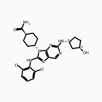 NC(=O)[C@H]1CC[C@H](n2c(Nc3c(Cl)cccc3Cl)nc3cnc(N[C@@H]4CC[C@@H](O)C4)nc32)CC1